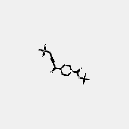 CC(C)(C)OC(=O)N1CCC(C(=O)C#CCS(C)(=O)=O)CC1